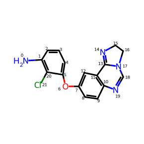 Nc1cccc(Oc2ccc3c(c2)C2=NCCN2C=N3)c1Cl